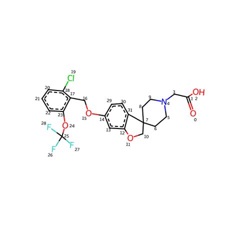 O=C(O)CN1CCC2(CC1)COc1cc(OCc3c(Cl)cccc3OC(F)(F)F)ccc12